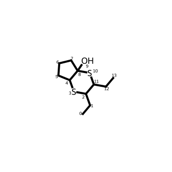 CCC1SC2CCCC2(O)SC1CC